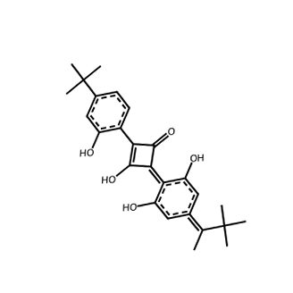 CC(=c1cc(O)c(=C2C(=O)C(c3ccc(C(C)(C)C)cc3O)=C2O)c(O)c1)C(C)(C)C